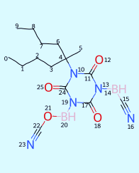 CCCCC(C)(CCCC)n1c(=O)n(BC#N)c(=O)n(BOC#N)c1=O